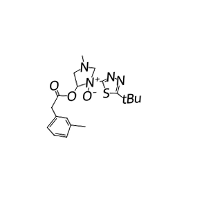 Cc1cccc(CC(=O)OC2CN(C)C[N+]2([O-])c2nnc(C(C)(C)C)s2)c1